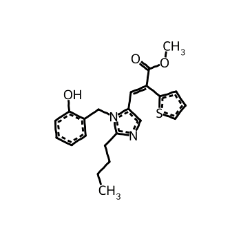 CCCCc1ncc(C=C(C(=O)OC)c2cccs2)n1Cc1ccccc1O